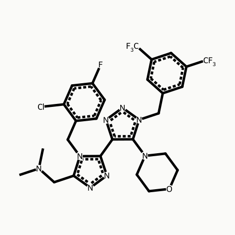 CN(C)Cc1nnc(-c2nnn(Cc3cc(C(F)(F)F)cc(C(F)(F)F)c3)c2N2CCOCC2)n1Cc1ccc(F)cc1Cl